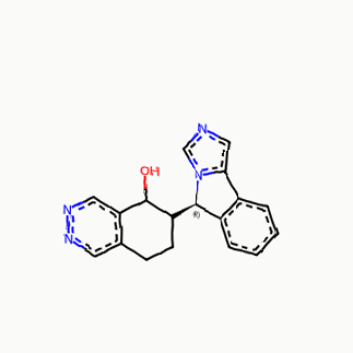 OC1c2cnncc2CCC1[C@@H]1c2ccccc2-c2cncn21